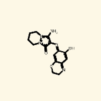 Nc1c(/N=C2\C=C3OCCN=C3C=C2O)c(=O)n2n1CCCC2